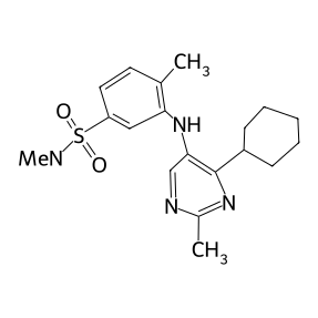 CNS(=O)(=O)c1ccc(C)c(Nc2cnc(C)nc2C2CCCCC2)c1